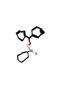 c1ccc(C(CO[SiH2]C2CCCCC2)c2ccccc2)cc1